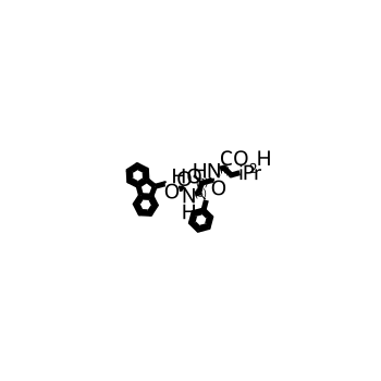 CC(C)C[C@@H](NC(=O)[C@H](O)[C@H](Cc1ccccc1)NC(=O)OCC1c2ccccc2-c2ccccc21)C(=O)O